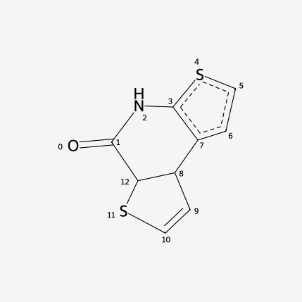 O=C1Nc2sccc2C2C=CSC12